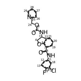 O=C(NC1COc2c(C(=O)Nc3ccc(F)c(Cl)c3)cccc21)OCc1ccccn1